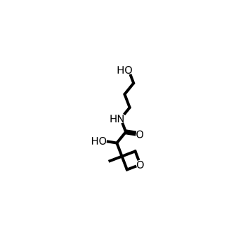 CC1(C(O)C(=O)NCCCO)COC1